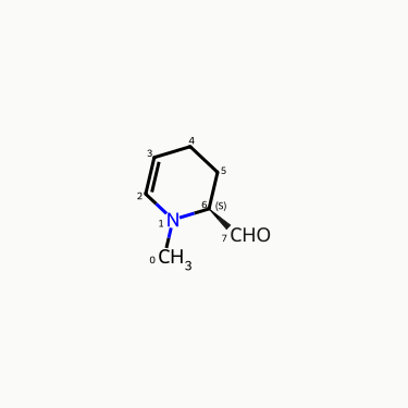 CN1C=CCC[C@H]1C=O